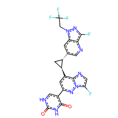 O=c1[nH]cc(-c2cc([C@H]3C[C@@H]3c3cnc4c(F)nn(CC(F)(F)F)c4c3)c3ncc(F)n3n2)c(=O)[nH]1